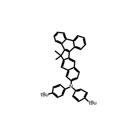 CC(C)(C)c1ccc(N(c2ccc(C(C)(C)C)cc2)c2ccc3cc4c(cc3c2)C(C)(C)c2c-4c3ccccc3c3ccccc23)cc1